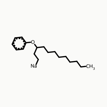 CCCCCCCCCC(C[CH2][Na])Oc1ccccc1